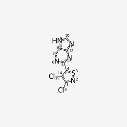 Clc1nsc(-c2ncc3[nH]cnc3n2)c1Cl